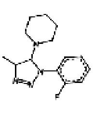 CC1N=NN(c2ccccc2F)C1N1CCCCC1